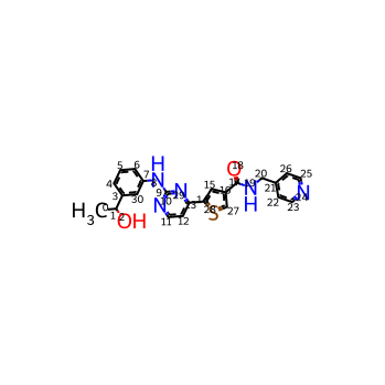 CC(O)c1cccc(Nc2nccc(-c3cc(C(=O)NCc4ccncc4)cs3)n2)c1